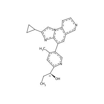 CC[C@H](O)c1cc(C)c(-c2cc3cnccc3n3cc(C4CC4)nc23)cn1